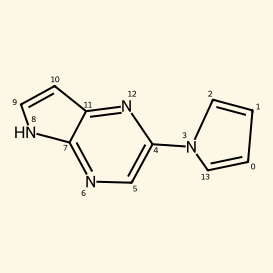 c1ccn(-c2cnc3[nH]ccc3n2)c1